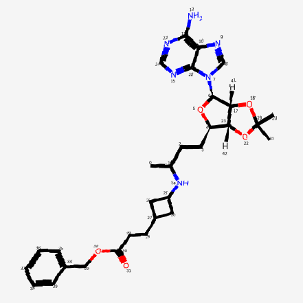 CC(CC[C@H]1O[C@@H](n2cnc3c(N)ncnc32)[C@@H]2OC(C)(C)O[C@@H]21)NC1CC(CCC(=O)OCc2ccccc2)C1